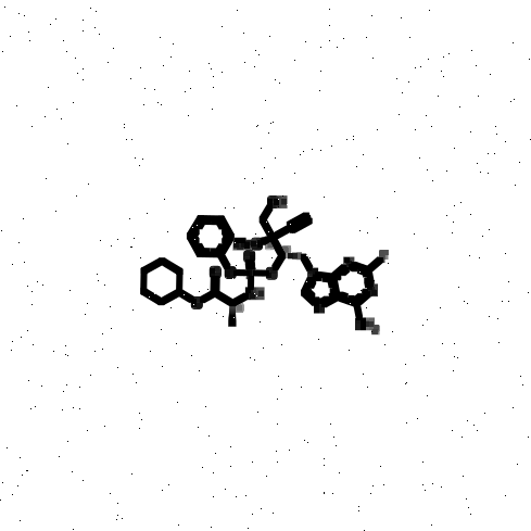 C#C[C@](CO)(OC)[C@H](Cn1cnc2c(N)nc(F)nc21)OP(=O)(N[C@@H](C)C(=O)OC1CCCCC1)Oc1ccccc1